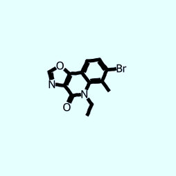 CCn1c(=O)c2ncoc2c2ccc(Br)c(C)c21